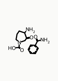 NC(=O)c1ccccc1.NC1CCCN(C(=O)O)CC1=O